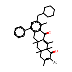 CC(=O)C1=C(C)CC2(C)CC3(C)Cc4c(-c5ccccc5)cc(CC5CCCCC5)c(C)c4C(=O)C3=C(C)C2(C)C1=O